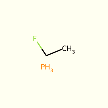 CCF.P